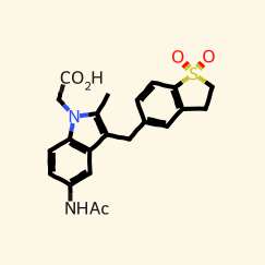 CC(=O)Nc1ccc2c(c1)c(Cc1ccc3c(c1)CCS3(=O)=O)c(C)n2CC(=O)O